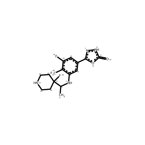 CC(Nc1cc(-c2n[nH]c(=O)o2)cc(F)c1C(F)(F)F)C1(F)CCNCC1